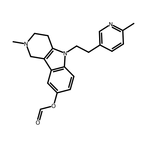 Cc1ccc(CCn2c3c(c4cc(OC=O)ccc42)CN(C)CC3)cn1